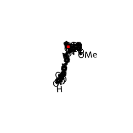 C#Cc1cccc2cc(OCOC)cc(-c3ncc4c(N5CC6CCC(C5)N6C(=O)OC(C)(C)C)nc(OCC5(CN6CCC(CCN7CCN(c8ccc9c(c8)C(=O)N(C8CCC(=O)NC8=O)C9=O)CC7)CC6)CC5)nc4c3F)c12